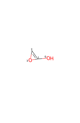 OC1=CO1